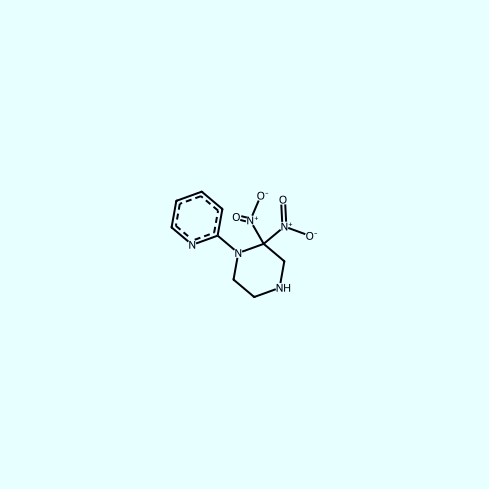 O=[N+]([O-])C1([N+](=O)[O-])CNCCN1c1ccccn1